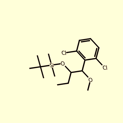 CCC(O[Si](C)(C)C(C)(C)C)C(OC)c1c(Cl)cccc1Cl